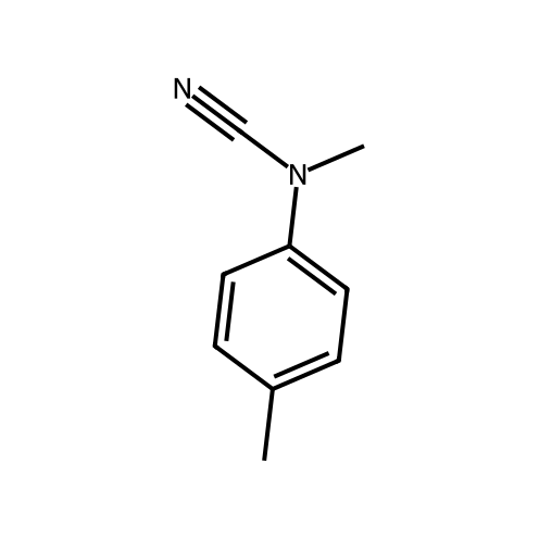 Cc1ccc(N(C)C#N)cc1